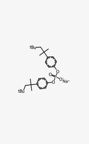 CC(C)(C)CC(C)(C)c1ccc(OP(=O)([O-])Oc2ccc(C(C)(C)CC(C)(C)C)cc2)cc1.[Na+]